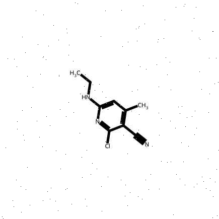 CCNc1cc(C)c(C#N)c(Cl)n1